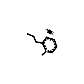 CCCc1cccc[n+]1C.[C-]#N